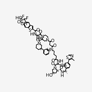 Cc1ncsc1-c1ccc([C@H](C)NC(=O)[C@@H]2C[C@@H](O)CN2C(=O)[C@@H](NC(=O)CCCNC(=O)CC(=O)N2CCN(C(=O)[C@@H](NC(=O)c3cc4cc(C(F)(F)P(=O)(O)O)ccc4s3)C(C)(C)C)[C@H](C(=O)N3CCC[C@H](c4ccccc4)C3)C2)C(C)(C)C)cc1